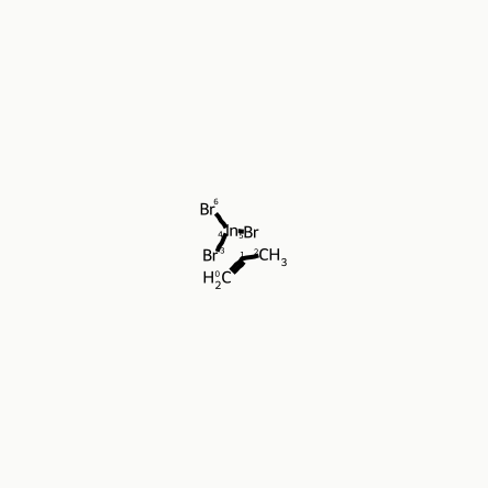 C=CC.[Br][In]([Br])[Br]